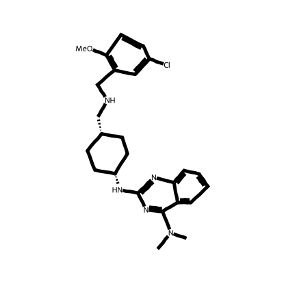 COc1ccc(Cl)cc1CNC[C@H]1CC[C@@H](Nc2nc(N(C)C)c3ccccc3n2)CC1